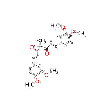 COc1ccc(/C=C/C(=O)C(C)C(=O)/C=C/c2ccc(OC)c(OC)c2)cc1OC